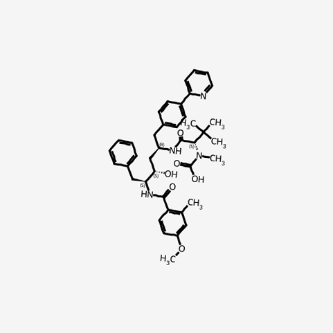 COc1ccc(C(=O)N[C@@H](Cc2ccccc2)[C@@H](O)C[C@@H](Cc2ccc(-c3ccccn3)cc2)NC(=O)[C@@H](N(C)C(=O)O)C(C)(C)C)c(C)c1